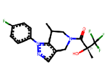 CC1CN(C(=O)[C@@](C)(O)C(F)(F)F)Cc2cnn(-c3ccc(F)cc3)c21